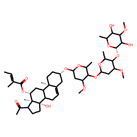 C/C=C(\C)C(=O)O[C@@H]1CC2C(CC=C3C[C@@H](OC4CC(OC)C(OC5CC(OC)C(O[C@@H]6OC(C)C(O)C(OC)C6O)C(C)O5)C(C)O4)CC[C@@]32C)[C@@]2(O)CCC(C(C)=O)[C@@]12C